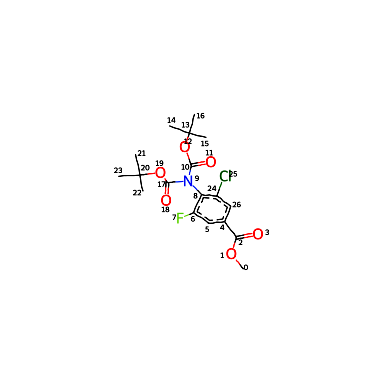 COC(=O)c1cc(F)c(N(C(=O)OC(C)(C)C)C(=O)OC(C)(C)C)c(Cl)c1